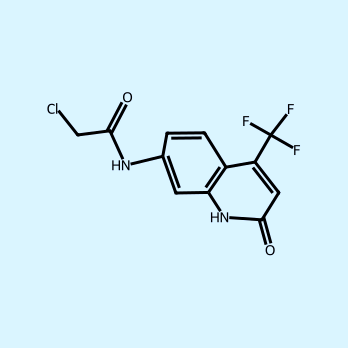 O=C(CCl)Nc1ccc2c(C(F)(F)F)cc(=O)[nH]c2c1